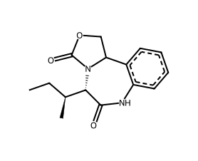 CC[C@H](C)[C@H]1C(=O)Nc2ccccc2C2COC(=O)N21